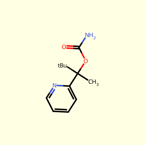 CC(C)(C)C(C)(OC(N)=O)c1ccccn1